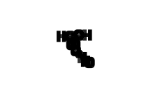 CC(=O)N1CCN(c2ccc(OCC3COC(C)(c4ccc(O)cc4CO)O3)cc2)CC1